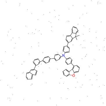 CC1(C)c2ccccc2-c2ccc(-c3ccc(N(c4ccc(-c5ccc(-c6cccc(-c7ccc8ccccc8c7)c6)cc5)cc4)c4ccc(-c5cccc6oc7ccccc7c56)cc4)cc3)cc21